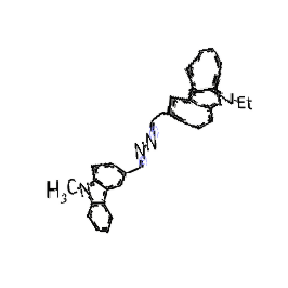 CCn1c2ccccc2c2cc(/C=N/N=C/c3ccc4c(c3)c3ccccc3n4C)ccc21